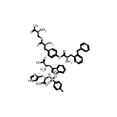 Cc1ccc(S(=O)(=O)N[C@@H](Cc2c[nH]cn2)C(=O)O)cc1.N[C@@H](Cc1c[nH]c2ccccc12)C(=O)O.N[C@H](Cc1ccccc1Cc1ccccc1)C(=O)Oc1ccc(C[C@H](N)C(=O)OC[C@H](N)C(=O)O)cc1